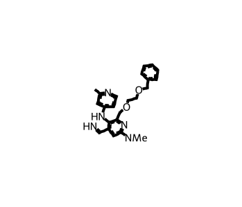 CNc1cc(C=N)c(Nc2ccnc(C)c2)c(COCCOCc2ccccc2)n1